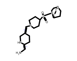 N/C=C1/CC/C(=C\N2CCC(S(=O)(=O)N3CCN4CCC3CC4)CC2)CN1